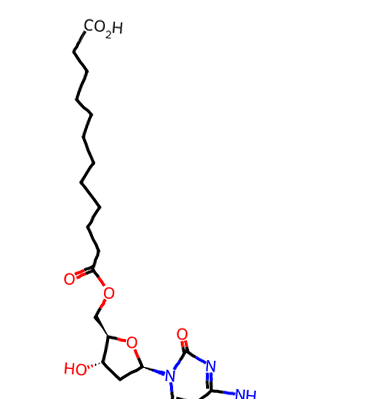 Nc1ccn([C@H]2C[C@H](O)[C@@H](COC(=O)CCCCCCCCCCC(=O)O)O2)c(=O)n1